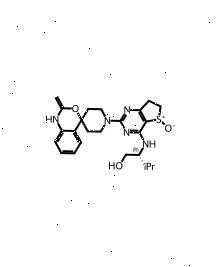 C=C1Nc2ccccc2C2(CCN(c3nc4c(c(N[C@@H](CO)C(C)C)n3)[S+]([O-])CC4)CC2)O1